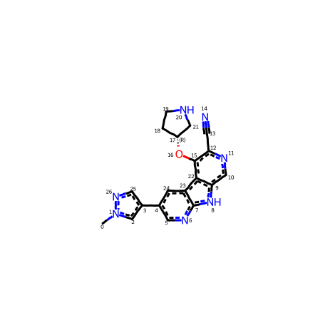 Cn1cc(-c2cnc3[nH]c4cnc(C#N)c(O[C@@H]5CCNC5)c4c3c2)cn1